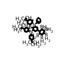 Bc1c(B)c(B)c(-c2cc3c4c(c2)N(C2CC5CCC2C5)c2ccc(C(C)(C)C)cc2B4c2cc(C(C)(C)C)ccc2N3c2ccc(C(C)(C)C)cc2)c(B)c1B